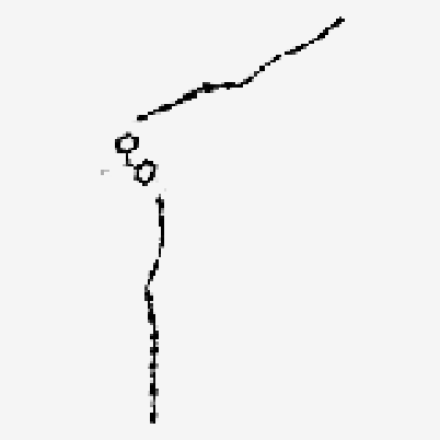 C#CC#CC#CC#CC#CC#CC#CC#CC#CC#CC#COc1ccc(C(O)c2ccc(OC#CC#CC#CC#CC#CC#CC#CC#CC#CC#CC#C)cc2)cc1